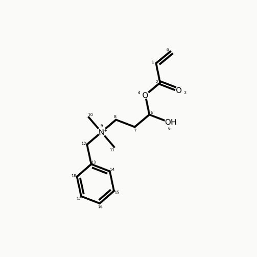 C=CC(=O)OC(O)CC[N+](C)(C)Cc1ccccc1